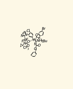 CC(C)(C)C[C@]1(c2ccc(Br)cc2)NC(=NC(=O)OCc2ccccc2)N([C@H](COC(=O)NC2(C(F)(F)F)CC2)c2ccc(Cl)c(-n3ncnc3C(F)F)c2)C1=O